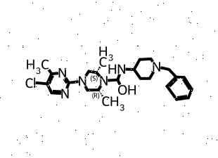 Cc1nc(N2C[C@@H](C)N(C(O)NC3CCN(Cc4ccccc4)CC3)[C@@H](C)C2)ncc1Cl